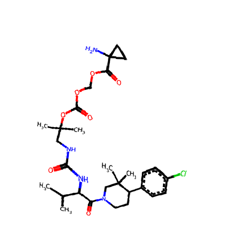 CC(C)C(NC(=O)NCC(C)(C)OC(=O)OCOC(=O)C1(N)CC1)C(=O)N1CCC(c2ccc(Cl)cc2)C(C)(C)C1